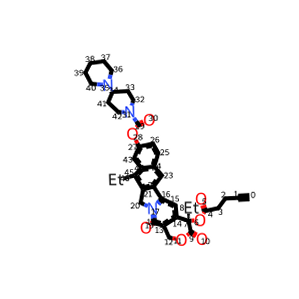 C#CCCC(=O)O[C@]1(CC)C(=O)OCc2c1cc1n(c2=O)Cc2c-1cc1ccc(OC(=O)N3CCC(N4CCCCC4)CC3)cc1c2CC